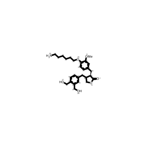 COc1cc(C[C@H]2C(=O)OCC2Cc2ccc(CO)c(CO)c2)ccc1OCCCCCCN